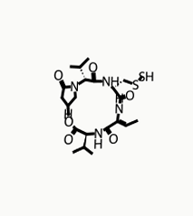 C/C=C1\NC(=O)[C@@H](CSS)NC(=O)[C@@H](C(C)C)N2C[C@@H](CC2=O)OC(=O)[C@H](C(C)C)NC1=O